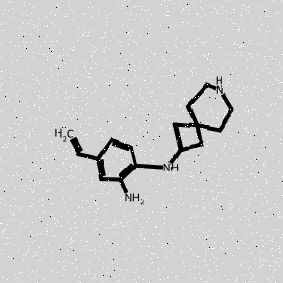 C=Cc1ccc(NC2CC3(CCNCC3)C2)c(N)c1